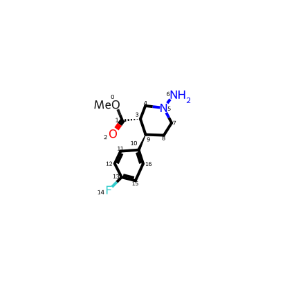 COC(=O)[C@@H]1CN(N)CC[C@H]1c1ccc(F)cc1